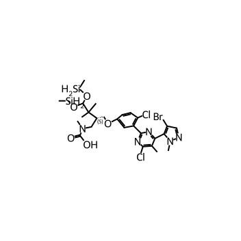 C[SiH2]OC(O[SiH2]C)C(C)(C)[C@H](COc1ccc(Cl)c(-c2nc(Cl)c(C)c(-c3c(Br)cnn3C)n2)c1)CN(C)C(=O)O